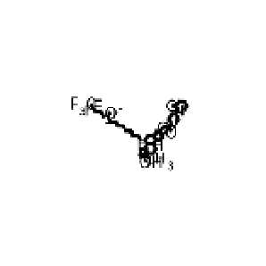 C[C@]12CC[C@@H]3c4ccc(OC(=O)N5CCC(N6CCCCC6=O)CC5)cc4C[C@@H](CCCCCCCCC[S+]([O-])CCCC(F)(F)C(F)(F)F)[C@H]3[C@@H]1CC[C@@H]2O